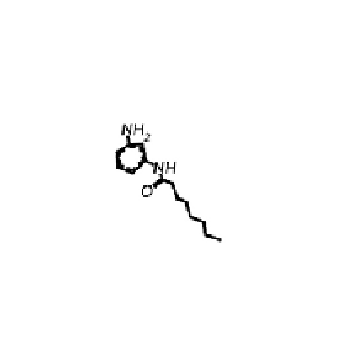 CCCCCCCC(=O)Nc1cccc(N)c1